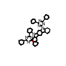 C1=Cc2c(n(-c3nc(-c4ccccc4)nc(-c4ccccc4)n3)c3cc4c(cc23)c2ccccc2n4-c2ccccc2-c2nc(-c3ccccc3)nc(-c3ccccc3)n2)CC1